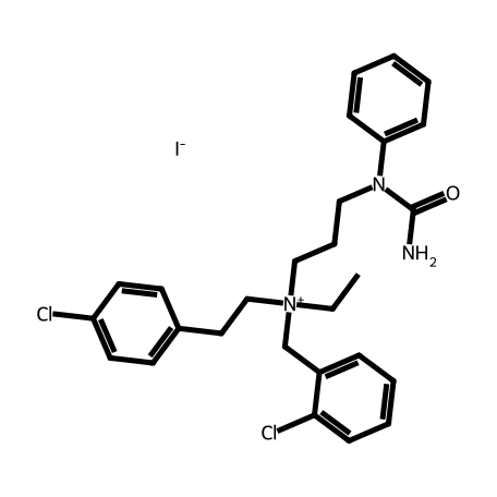 CC[N+](CCCN(C(N)=O)c1ccccc1)(CCc1ccc(Cl)cc1)Cc1ccccc1Cl.[I-]